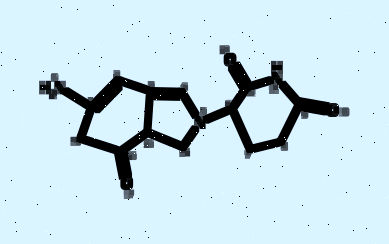 NC1=CC2=CN(C3CCC(=O)NC3=O)CC2C(=O)C1